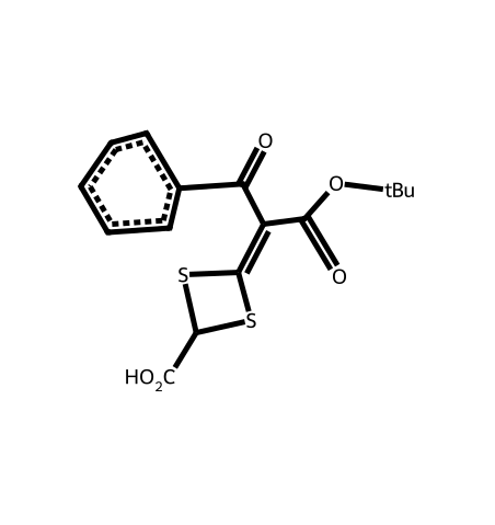 CC(C)(C)OC(=O)C(C(=O)c1ccccc1)=C1SC(C(=O)O)S1